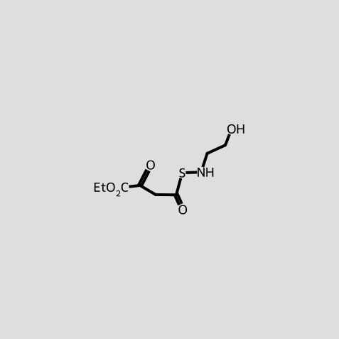 CCOC(=O)C(=O)CC(=O)SNCCO